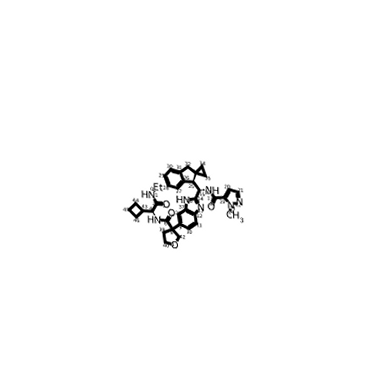 CCNC(=O)[C@H](NC(=O)C1(c2ccc3nc([C@@H](NC(=O)c4ccnn4C)[C@H]4c5ccccc5CC45CC5)[nH]c3c2)CCOC1)C1CCC1